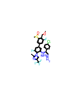 COCc1c(F)cc(-c2cc(F)c(-n3cc(C(F)(F)F)nc3C)c(N(N)/C(=C\N)c3ccc(Cl)cc3)c2)cc1[S+](C)[O-]